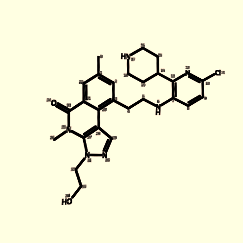 Cc1cc(CCNc2ccc(Cl)nc2C2CCNCC2)c2c(c1)c(=O)n(C)c1c2cnn1CCO